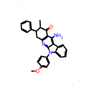 COc1ccc(-n2c3ccccc3c3c(N)c4c(nc32)CC(c2ccccc2)C(C)C4=O)cc1